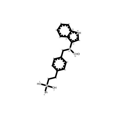 CC(C)[Si](O)(O)CCc1ccc(CN(C=O)c2c[nH]c3ccccc23)cc1